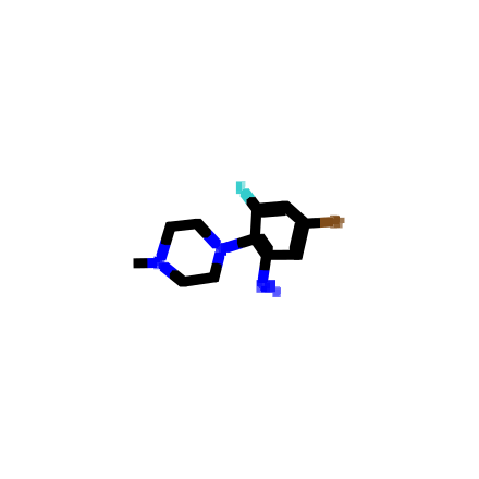 CN1CCN(c2c(N)cc(Br)cc2F)CC1